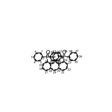 O=P(c1ccccc1)(c1ccccc1)c1cccc2cc3cccc(P(=O)(c4ccccc4)c4ccccc4)c3nc12